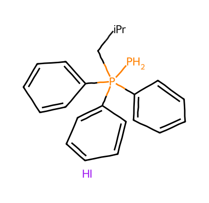 CC(C)CP(P)(c1ccccc1)(c1ccccc1)c1ccccc1.I